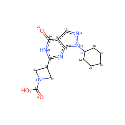 O=C(O)N1CC(c2nc3c(cnn3C3CCCCC3)c(=O)[nH]2)C1